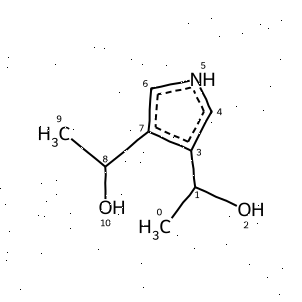 CC(O)c1c[nH]cc1C(C)O